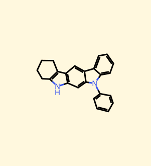 c1ccc(-n2c3ccccc3c3cc4c5c([nH]c4cc32)CCCC5)cc1